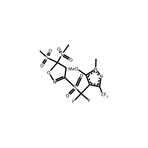 COc1c(C(F)(F)S(=O)(=O)C2=NOC(S(C)(=O)=O)(S(C)(=O)=O)C2)c(C(F)(F)F)nn1C